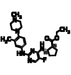 CCOC(=O)[C@H]1CCC[C@@H]1Nc1nc(Nc2ccc(N3CCN(C)CC3)c(C)c2)ncc1F